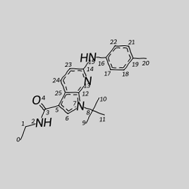 CCNC(=O)c1cn(C(C)(C)C)c2nc(Nc3ccc(C)cc3)ccc12